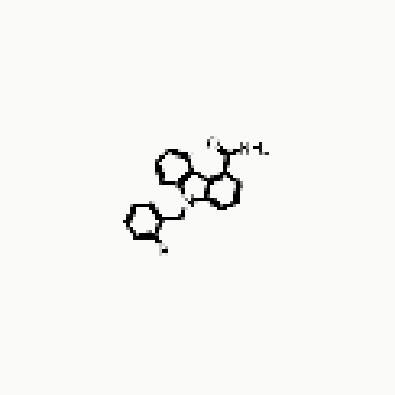 NC(=O)c1cccc2c1c1[c]cccc1n2Cc1ccccc1Br